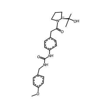 COc1ccc(CNC(=O)Nc2ccc(CC(=O)N3CCC[C@H]3C(C)(C)O)cc2)cc1